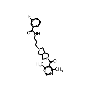 Cc1ncnc(C)c1C(=O)N1CC2CN(CCCNC(=O)c3cccc(F)c3)CC2C1